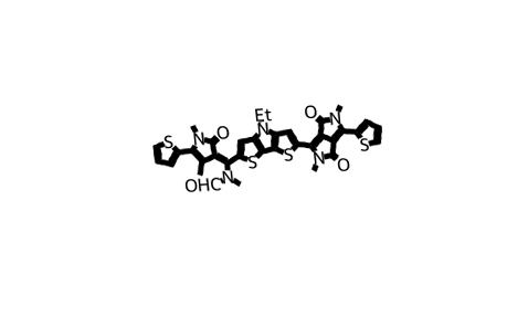 CCn1c2cc(C3=C4C(=O)N(C)C(c5cccs5)=C4C(=O)N3C)sc2c2sc(/C(=C3\C(=O)N(C)C(c4cccs4)=C3C)N(C)C=O)cc21